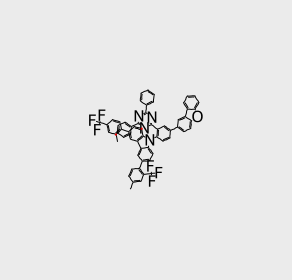 Cc1ccc(-c2ccc3c(c2)c2cc(-c4ccc(C(F)(F)F)cc4C)ccc2n3-c2ccc(-c3ccc4oc5ccccc5c4c3)cc2-c2nc(-c3ccccc3)nc(-c3ccccc3)n2)c(C(F)(F)F)c1